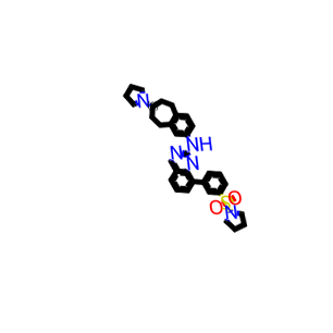 O=S(=O)(c1cccc(-c2cccc3cnc(Nc4ccc5c(c4)CC[C@@H](N4CCCC4)CC5)nc23)c1)N1CCCC1